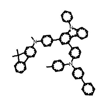 Cc1ccc(N(c2ccc(-c3ccccc3)cc2)c2cccc(-c3cc(-c4ccc(N(C)c5ccc6c(c5)C(C)(C)c5ccccc5-6)cc4)cc4c3c3ccccc3n4-c3ccccc3)c2)cc1